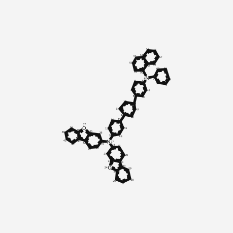 c1ccc(N(c2ccc(-c3ccc(-c4ccc(N(c5ccc6c(c5)oc5ccccc56)c5ccc6c(c5)oc5ccccc56)cc4)cc3)cc2)c2cccc3ccccc23)cc1